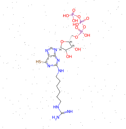 N=C(N)NCCCCCCNc1nc(S)c2ncn([C@@H]3O[C@H](COP(=O)(O)OP(=O)(O)OP(=O)(O)O)[C@H](O)C3O)c2n1